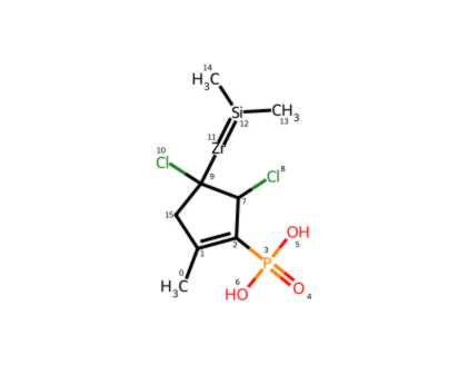 CC1=C(P(=O)(O)O)C(Cl)[C](Cl)([Zr]=[Si](C)C)C1